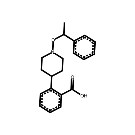 CC(ON1CCC(c2ccccc2C(=O)O)CC1)c1ccccc1